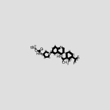 C[C@@H](Nc1ccnc2ccc(N3CC[C@@H](NC(=O)OC(C)(C)C)C3)cc12)c1cccc(C(F)F)c1F